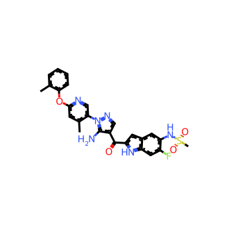 Cc1ccccc1Oc1cc(C)c(-n2ncc(C(=O)c3cc4cc(NS(C)(=O)=O)c(F)cc4[nH]3)c2N)cn1